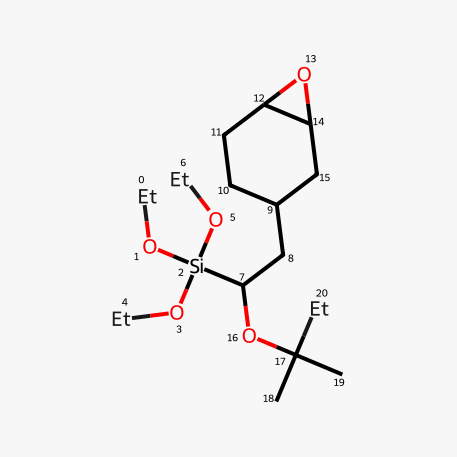 CCO[Si](OCC)(OCC)C(CC1CCC2OC2C1)OC(C)(C)CC